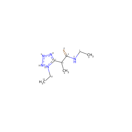 CCNC(=S)C(C)c1nnnn1CC